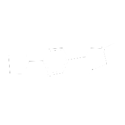 CCOC(=O)C1CN(C)CC1c1ccc(C2OCCO2)nc1